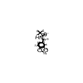 C[C@@H](N[S+]([O-])C(C)(C)C)c1ccc2c(c1)OCO2